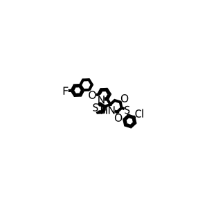 O=C1CC(c2ccsc2)(c2cccc(OC3CCCc4cc(F)ccc43)n2)NC(=O)C1Sc1ccccc1Cl